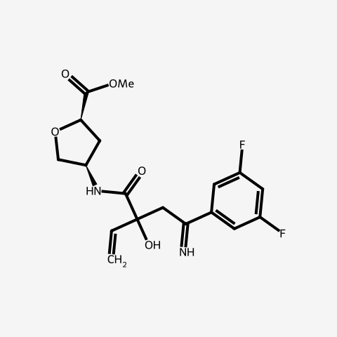 C=CC(O)(CC(=N)c1cc(F)cc(F)c1)C(=O)N[C@H]1CO[C@@H](C(=O)OC)C1